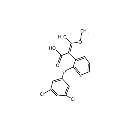 COC(C)=C(C(=O)O)c1cccnc1Oc1cc(Cl)cc(Cl)c1